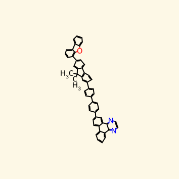 CC1(C)c2cc(-c3ccc(-c4ccc(-c5ccc6c7ccccc7c7nccnc7c6c5)cc4)cc3)ccc2-c2ccc(-c3cccc4c3oc3ccccc34)cc21